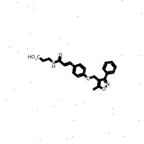 Cc1onc(-c2ccccc2)c1COc1ccc(/C=C/C(=O)NCCC(=O)O)cc1